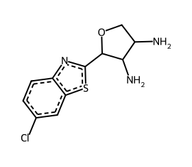 NC1COC(c2nc3ccc(Cl)cc3s2)C1N